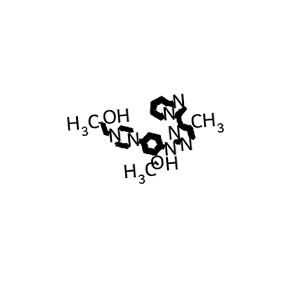 COc1cc(N2CCN(C[C@H](C)O)CC2)ccc1Nc1ncc(C)c(-c2cnc3ccccn23)n1